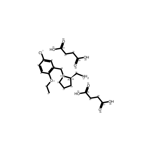 CCOc1ccc(Cl)cc1CN1CCC[C@@H]1CN.O=C(O)CCC(=O)O.O=C(O)CCC(=O)O